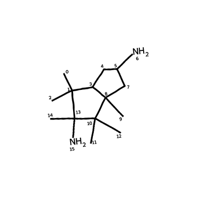 CC1(C)C2CC(N)CC2(C)C(C)(C)C1(C)N